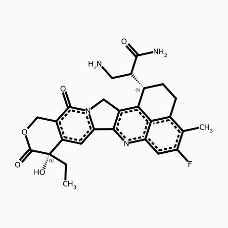 CC[C@@]1(O)C(=O)OCc2c1cc1n(c2=O)Cc2c-1nc1cc(F)c(C)c3c1c2[C@H](C(CN)C(N)=O)CC3